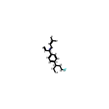 C=C/C(=C\C=C(C)C)c1ccc(C(CC)CCF)cc1